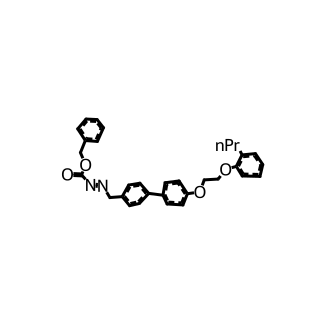 CCCc1ccccc1OCCOc1ccc(-c2ccc(CN=NC(=O)OCc3ccccc3)cc2)cc1